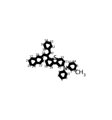 CC1C=C(N(c2ccccc2)c2ccc3sc4c(/C(=C\c5ccc6ccccc6c5)Cc5ccccc5)cccc4c3c2)C=CC1